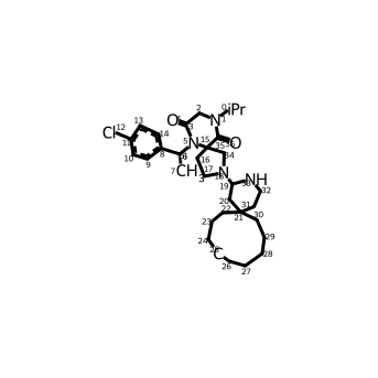 CC(C)N1CC(=O)N([C@@H](C)c2ccc(Cl)cc2)C2(CCN(C3CC4(CCCCCCCCC4)CCN3)C2)C1=O